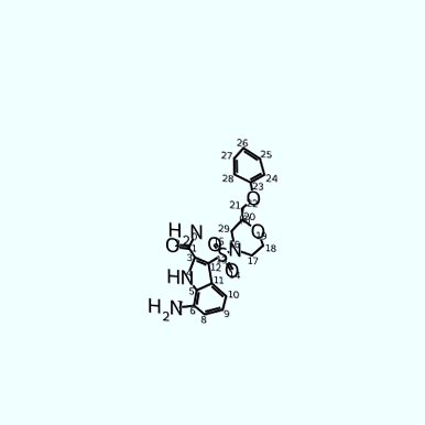 NC(=O)c1[nH]c2c(N)cccc2c1S(=O)(=O)N1CCO[C@H](COc2ccccc2)C1